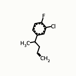 C=CC[C](C)c1ccc(F)c(Cl)c1